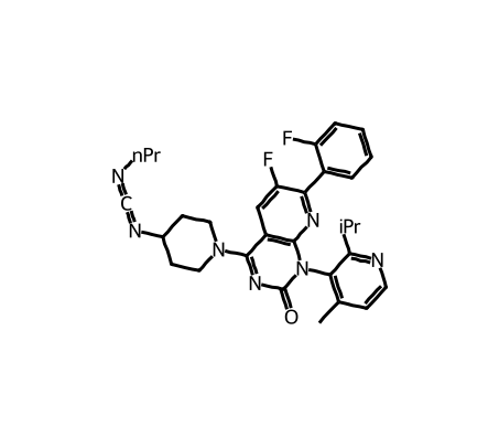 CCCN=C=NC1CCN(c2nc(=O)n(-c3c(C)ccnc3C(C)C)c3nc(-c4ccccc4F)c(F)cc23)CC1